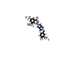 O=c1nc(N2CC3CN(Cc4ccc(Cl)c(C(F)(F)F)c4)CC3C2)sc2c([N+](=O)[O-])cc(C(F)(F)F)cc12